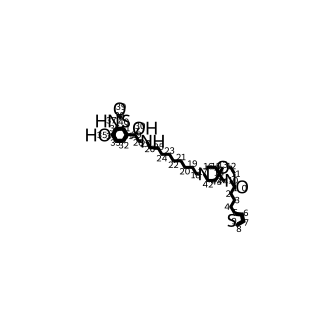 O=C(CCCc1cccs1)N1CCOC2(CCN(CCCCCCCCCNC[C@H](O)c3ccc(O)c4[nH]c(=O)sc34)CC2)C1